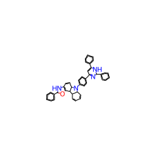 C1=CC2C3C4=C(C=CC3N(c3ccc(C5=NC(c6ccccc6)NC(c6ccccc6)=C5)cc3)C2C=C1)NC(c1ccccc1)O4